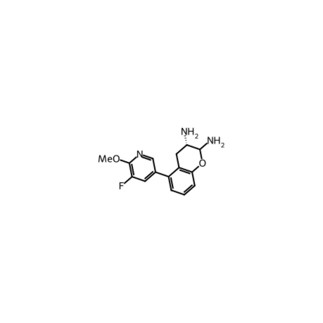 COc1ncc(-c2cccc3c2C[C@H](N)C(N)O3)cc1F